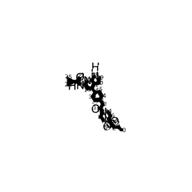 CCCS(=O)(=O)N1CCN(C(=O)Cc2ccc(-c3cc(NC(=O)C4CC4)nc4[nH]ccc34)cc2)CC1